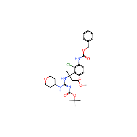 COC(=O)C[C@](C)(NC(=NC(=O)OC(C)(C)C)NC1CCOCC1)c1cccc(NC(=O)OCc2ccccc2)c1Cl